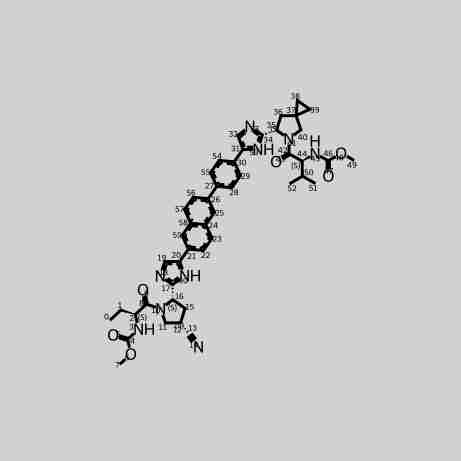 CC[C@H](NC(=O)OC)C(=O)N1C[C@@H](C#N)C[C@H]1c1ncc(-c2ccc3cc(-c4ccc(-c5cnc([C@@H]6CC7(CC7)CN6C(=O)[C@@H](NC(=O)OC)C(C)C)[nH]5)cc4)ccc3c2)[nH]1